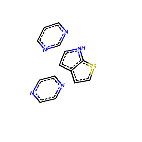 c1cc2ccsc2[nH]1.c1cnccn1.c1cncnc1